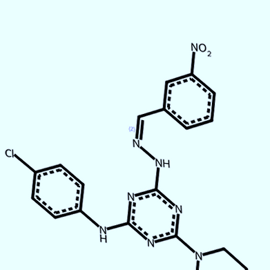 O=[N+]([O-])c1cccc(/C=N\Nc2nc(Nc3ccc(Cl)cc3)nc(N3CCOCC3)n2)c1